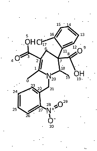 CC1=C(C(=O)O)CC(C(=O)O)(c2ccccc2Cl)C(C)N1Cc1ccccc1[N+](=O)[O-]